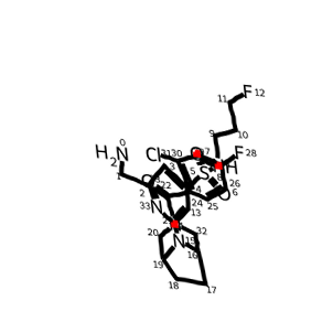 NCc1cc(S(=O)(=O)NCCCF)cc(N2C3CCC2CN(C(=O)c2ccc(F)cc2Cl)C3)n1